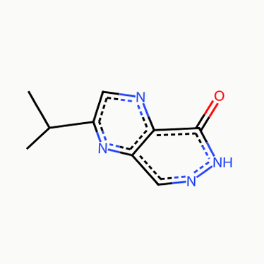 CC(C)c1cnc2c(=O)[nH]ncc2n1